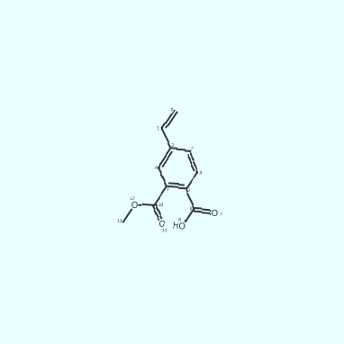 C=Cc1ccc(C(=O)O)c(C(=O)OC)c1